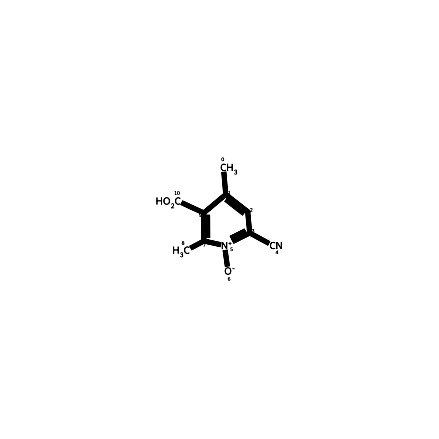 Cc1cc(C#N)[n+]([O-])c(C)c1C(=O)O